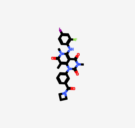 Cc1c(=O)n(C)c(Nc2ccc(I)cc2F)c2c(=O)n(C)c(=O)n(-c3cccc(C(=O)N4CCC4)c3)c12